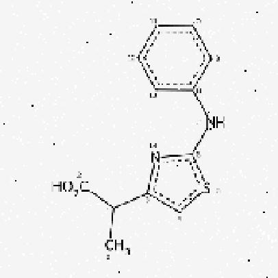 CC(C(=O)O)c1csc(Nc2ccccc2)n1